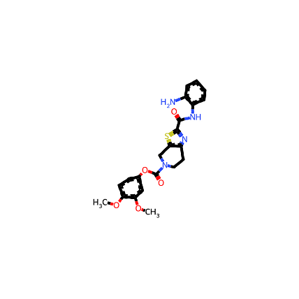 COc1ccc(OC(=O)N2CCc3nc(C(=O)Nc4ccccc4N)sc3C2)cc1OC